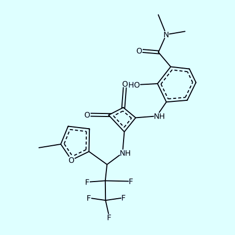 Cc1ccc(C(Nc2c(Nc3cccc(C(=O)N(C)C)c3O)c(=O)c2=O)C(F)(F)C(F)(F)F)o1